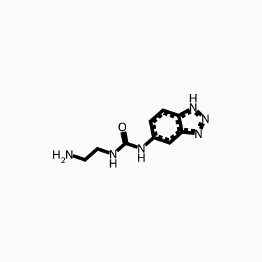 NCCNC(=O)Nc1ccc2[nH]nnc2c1